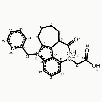 NC(=O)C1CCCCc2c1c1c(OCC(=O)O)cccc1n2Cc1ccccn1